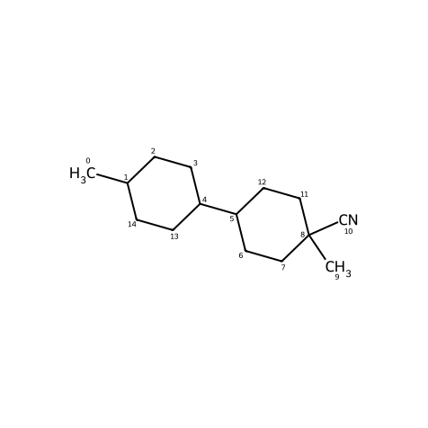 CC1CCC(C2CCC(C)(C#N)CC2)CC1